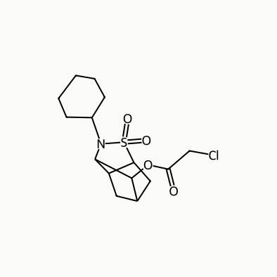 O=C(CCl)OC1C2CC3C1N(C1CCCCC1)S(=O)(=O)C3C2